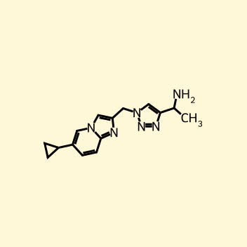 CC(N)c1cn(Cc2cn3cc(C4CC4)ccc3n2)nn1